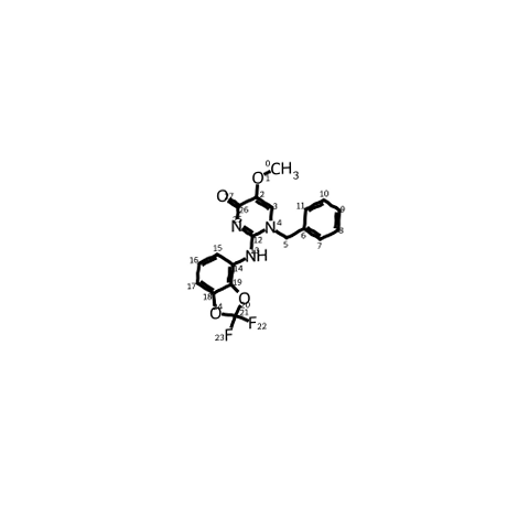 COc1cn(Cc2ccccc2)c(Nc2cccc3c2OC(F)(F)O3)nc1=O